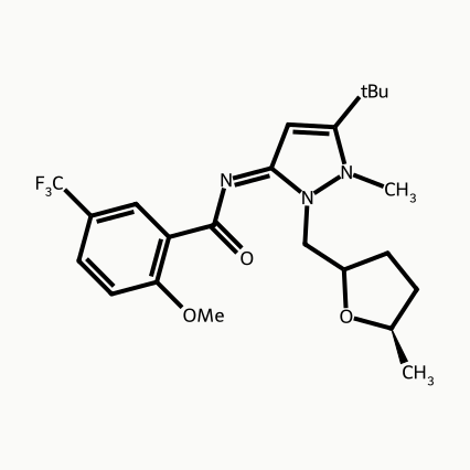 COc1ccc(C(F)(F)F)cc1C(=O)N=c1cc(C(C)(C)C)n(C)n1CC1CC[C@@H](C)O1